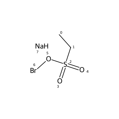 CCS(=O)(=O)OBr.[NaH]